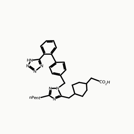 CCCCCc1nc(CC2CCC(CC(=O)O)CC2)n(Cc2ccc(-c3ccccc3-c3nnn[nH]3)cc2)n1